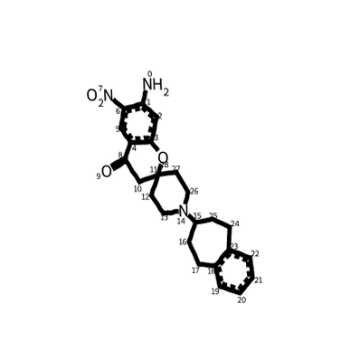 Nc1cc2c(cc1[N+](=O)[O-])C(=O)CC1(CCN(C3CCc4ccccc4CC3)CC1)O2